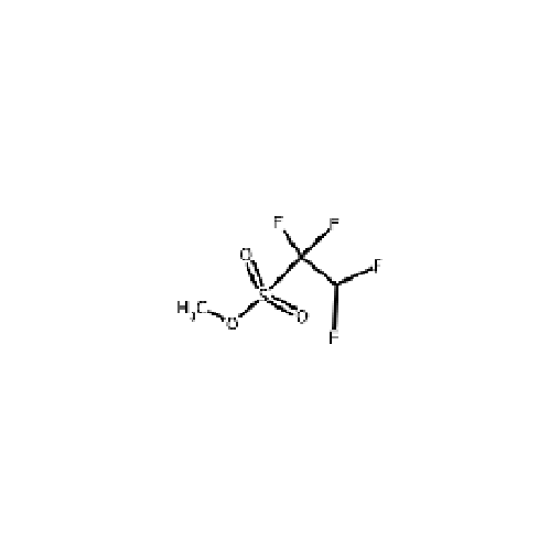 COS(=O)(=O)C(F)(F)C(F)F